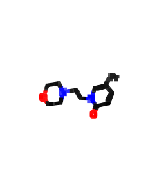 CC(C)c1ccc(=O)n(CCN2CCOCC2)c1